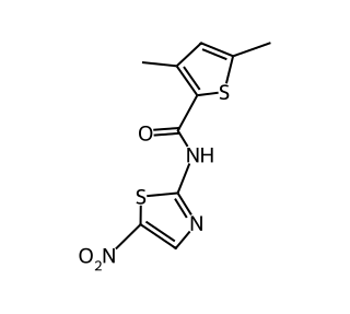 Cc1cc(C)c(C(=O)Nc2ncc([N+](=O)[O-])s2)s1